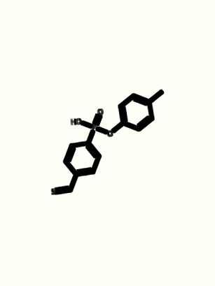 Cc1ccc(OP(=O)(O)c2ccc(C=S)cc2)cc1